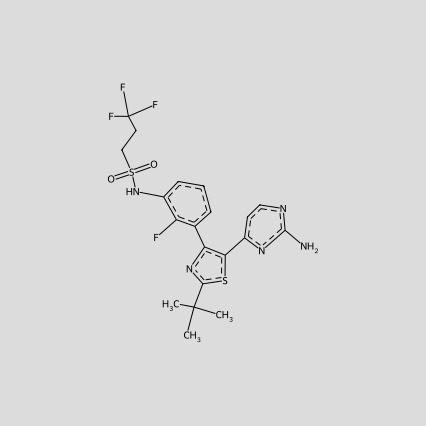 CC(C)(C)c1nc(-c2cccc(NS(=O)(=O)CCC(F)(F)F)c2F)c(-c2ccnc(N)n2)s1